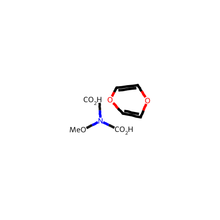 C1=COC=CO1.CON(C(=O)O)C(=O)O